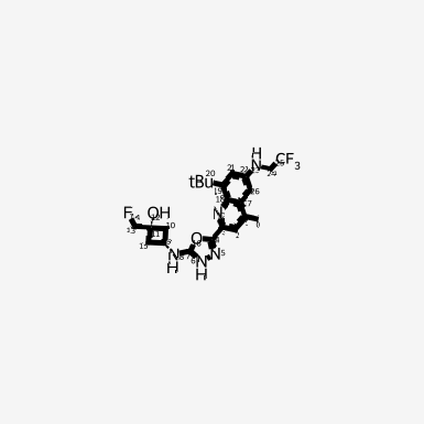 Cc1cc(C2=NNC(N[C@H]3C[C@](O)(CF)C3)O2)nc2c(C(C)(C)C)cc(NCC(F)(F)F)cc12